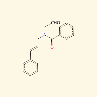 O=CCN(CC=Cc1ccccc1)C(=O)c1ccccc1